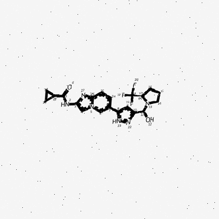 O=C(Nc1cn2cc(-c3cc(C(O)N4CCC[C@@H]4C(F)(F)F)n[nH]3)ccc2n1)C1CC1